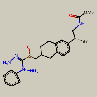 CCC[C@@H](CNC(=O)OC)c1ccc2c(c1)CCC(C[S+]([O-])/C(=N/N)N(N)c1ccccc1)C2